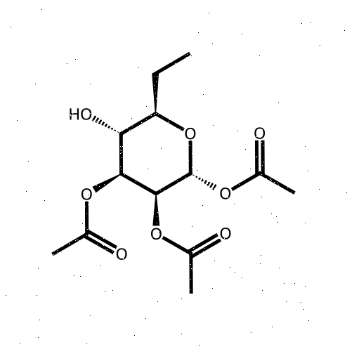 CC[C@H]1O[C@H](OC(C)=O)[C@@H](OC(C)=O)[C@@H](OC(C)=O)[C@@H]1O